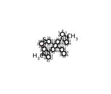 CN1c2ccccc2N(c2ccc3c(-c4ccc5sc6ccccc6c5c4)c4cc(N5c6ccccc6N(C)c6ccccc65)ccc4c(-c4ccc5ccccc5c4)c3c2)c2ccccc21